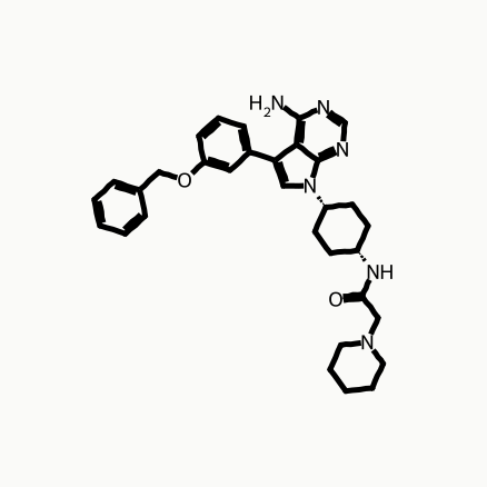 Nc1ncnc2c1c(-c1cccc(OCc3ccccc3)c1)cn2[C@H]1CC[C@@H](NC(=O)CN2CCCCC2)CC1